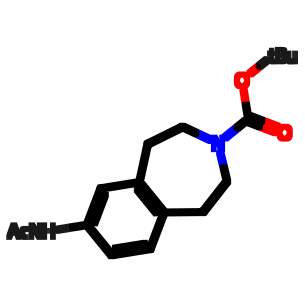 CC(=O)Nc1ccc2c(c1)CCN(C(=O)OC(C)(C)C)CC2